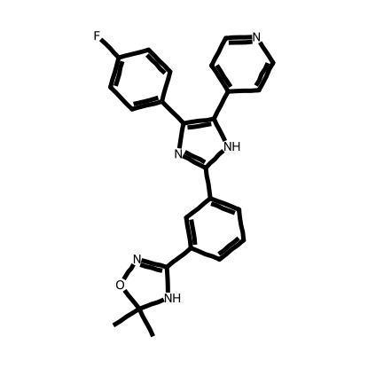 CC1(C)NC(c2cccc(-c3nc(-c4ccc(F)cc4)c(-c4ccncc4)[nH]3)c2)=NO1